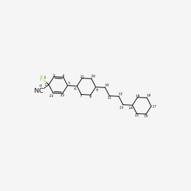 N#CC1(F)C=CC(C2CCC(CCCCC3CCCCC3)CC2)C=C1